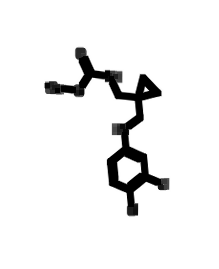 CC(C)(C)OC(=O)NCC1(CNc2ccc(Cl)c(Cl)c2)CC1